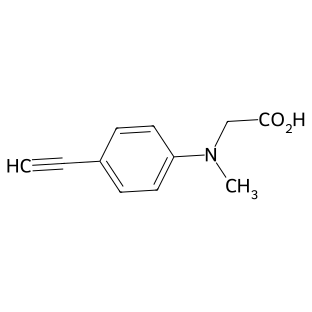 C#Cc1ccc(N(C)CC(=O)O)cc1